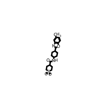 Cc1ccc2oc(C3CCC(NC(=O)C4CCS(=O)(=O)CC4)CC3)nc2c1